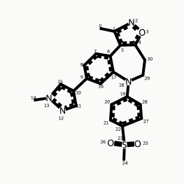 Cc1noc2c1-c1ccc(-c3cnn(C)c3)cc1N(c1ccc(S(C)(=O)=O)cc1)CC2